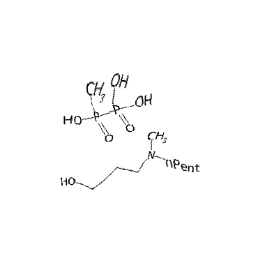 CCCCCN(C)CCCO.CP(=O)(O)P(=O)(O)O